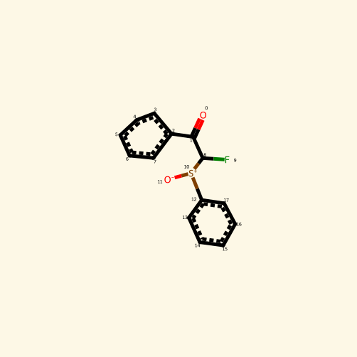 O=C(c1ccccc1)C(F)[S+]([O-])c1ccccc1